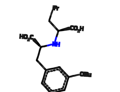 CC(C)COc1cccc(C[C@H](N[C@@H](CC(C)C)C(=O)O)C(=O)O)c1